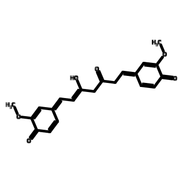 COC1=CC(=CC=C(O)CC(=O)CC=C2C=CC(=O)C(OC)=C2)C=CC1=O